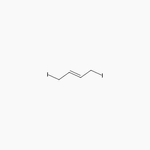 ICC=CCI